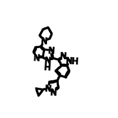 c1cc(N2CCCCC2)c2nc(-c3n[nH]c4ccc(-c5cnn(C6CC6)c5)cc34)[nH]c2n1